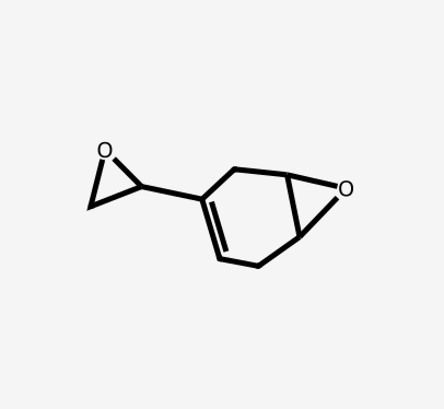 C1=C(C2CO2)CC2OC2C1